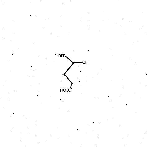 CCCC(O)[CH]CC(=O)O